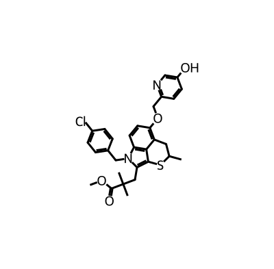 COC(=O)C(C)(C)Cc1c2c3c(c(OCc4ccc(O)cn4)ccc3n1Cc1ccc(Cl)cc1)CC(C)S2